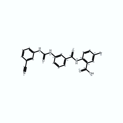 N#Cc1cccc(NC(=O)Nc2cccc(C(=O)Nc3ccc(Br)cc3C(=O)O)c2)c1